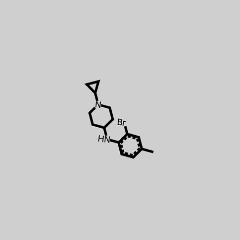 Cc1ccc(NC2CCN(C3CC3)CC2)c(Br)c1